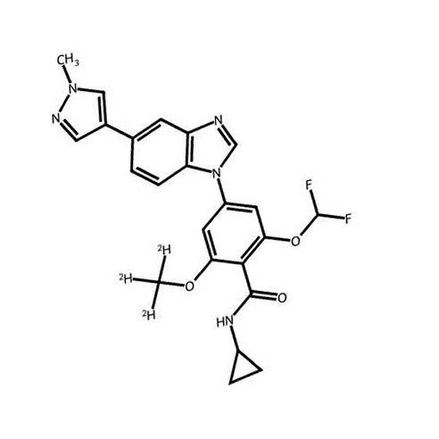 [2H]C([2H])([2H])Oc1cc(-n2cnc3cc(-c4cnn(C)c4)ccc32)cc(OC(F)F)c1C(=O)NC1CC1